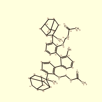 CC(=O)OCOc1c(-c2cccc(S)c2-c2cccc(C3(C)C4CC5CC(C4)CC3C5)c2OCOC(C)=O)cccc1C1(C)C2CC3CC(C2)CC1C3